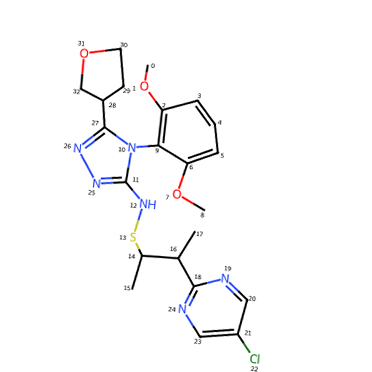 COc1cccc(OC)c1-n1c(NSC(C)C(C)c2ncc(Cl)cn2)nnc1C1CCOC1